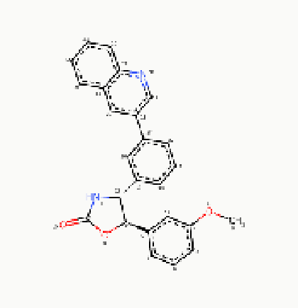 COc1cccc([C@H]2OC(=O)N[C@@H]2c2cccc(-c3cnc4ccccc4c3)c2)c1